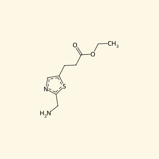 CCOC(=O)CCc1cnc(CN)s1